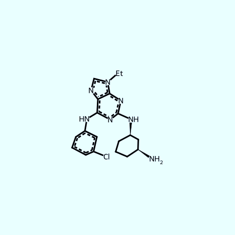 CCn1cnc2c(Nc3cccc(Cl)c3)nc(N[C@@H]3CCC[C@H](N)C3)nc21